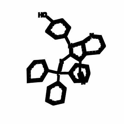 N#Cc1c(N=P(c2ccccc2)(c2ccccc2)c2ccccc2)n(-c2ccc(O)cc2)c2ncccc12